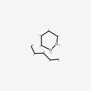 C1CCOOC1.CCCCC